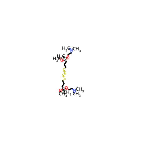 CO[Si](C)(CCCSSSSCCC[Si](C)(OC)OCCN(C)C)OCCN(C)C